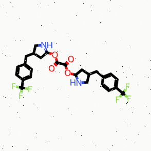 O=C(OC1CC(Cc2ccc(C(F)(F)F)cc2)CN1)C(=O)OC1CC(Cc2ccc(C(F)(F)F)cc2)CN1